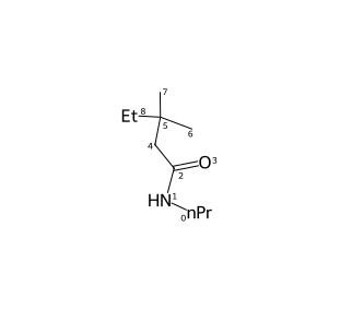 CCCNC(=O)CC(C)(C)CC